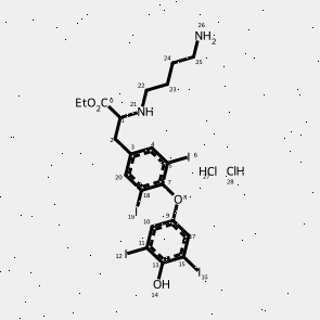 CCOC(=O)C(Cc1cc(I)c(Oc2cc(I)c(O)c(I)c2)c(I)c1)NCCCCN.Cl.Cl